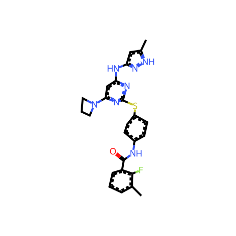 Cc1cc(Nc2cc(N3CCC3)nc(Sc3ccc(NC(=O)c4cccc(C)c4F)cc3)n2)n[nH]1